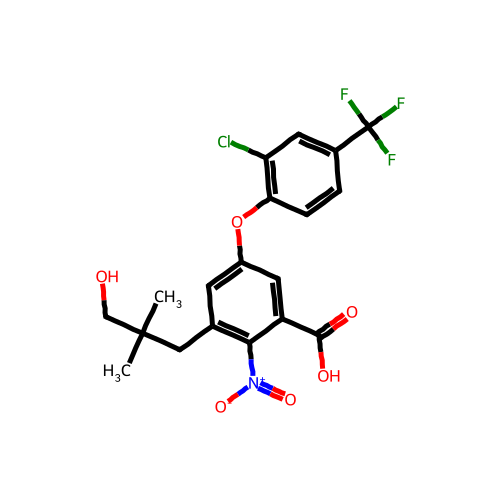 CC(C)(CO)Cc1cc(Oc2ccc(C(F)(F)F)cc2Cl)cc(C(=O)O)c1[N+](=O)[O-]